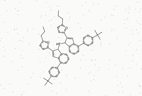 CCCc1ccc(C2=Cc3c(-c4ccc(C(C)(C)C)cc4)cccc3[CH]2[Hf][CH]2C(c3ccc(CCC)o3)=Cc3c(-c4ccc(C(C)(C)C)cc4)cccc32)o1